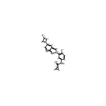 O=C(Nc1ccc(F)c(-n2cc3cc(N4CC(F)C4)cnc3n2)c1)C1CC1